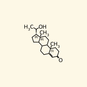 CC(O)[C@@H]1CCC2C3CCC4=CC(=O)CC[C@@]4(C)C3CC[C@]21C